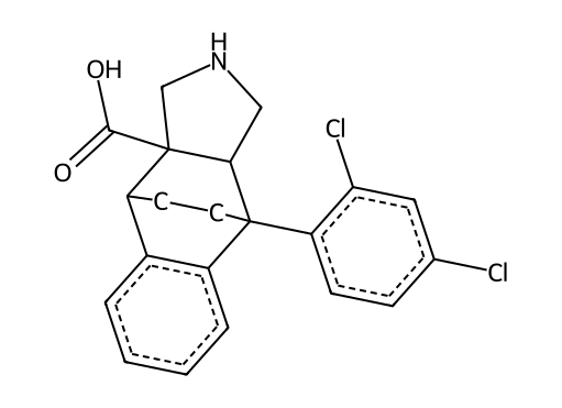 O=C(O)C12CNCC1C1(c3ccc(Cl)cc3Cl)CCC2c2ccccc21